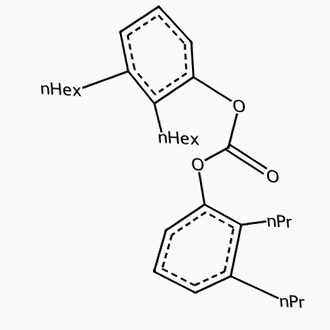 CCCCCCc1cccc(OC(=O)Oc2cccc(CCC)c2CCC)c1CCCCCC